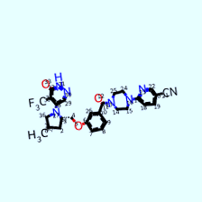 C[C@@H]1C[C@@H](COc2cccc(C(=O)N3CCN(c4ccc(C#N)cn4)CC3)c2)N(c2cn[nH]c(=O)c2C(F)(F)F)C1